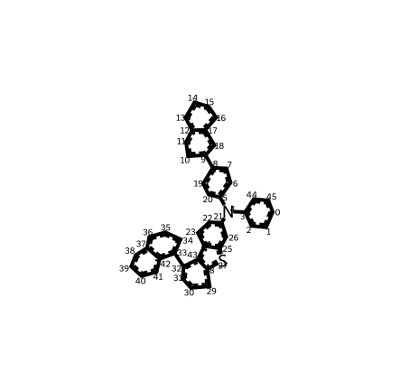 c1ccc(N(c2ccc(-c3ccc4ccccc4c3)cc2)c2ccc3c(c2)sc2cccc(-c4cccc5ccccc45)c23)cc1